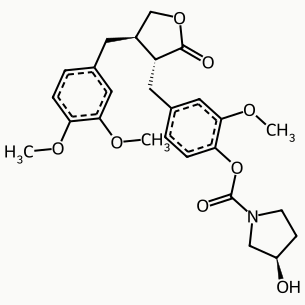 COc1ccc(C[C@H]2COC(=O)[C@@H]2Cc2ccc(OC(=O)N3CC[C@@H](O)C3)c(OC)c2)cc1OC